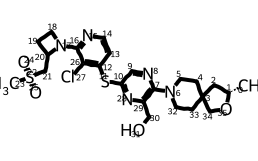 C[C@H]1CC2(CCN(c3ncc(Sc4ccnc(N5CCC5CS(C)(=O)=O)c4Cl)nc3CO)CC2)CO1